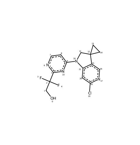 OCC(F)(F)c1nccc(N2CC3(CC3)c3cnc(Cl)cc32)n1